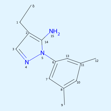 [CH2]Cc1cnn(-c2cc(C)cc(C)c2)c1N